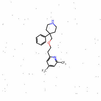 FC(F)(F)c1cc(CCOCC2(c3ccccc3)CCNCC2)nc(C(F)(F)F)c1